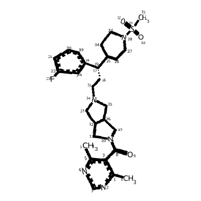 Cc1ncnc(C)c1C(=O)N1CC2CN(CC[C@H](c3cccc(F)c3)C3CCN(S(C)(=O)=O)CC3)CC2C1